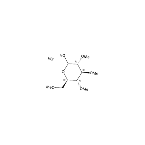 Br.COC[C@H]1OC(O)[C@H](OC)[C@@H](OC)[C@@H]1OC